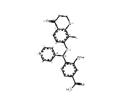 COc1cc(C(N)=O)ccc1C(Oc1ccc2c(c1C)OCCC2=O)c1ccncc1